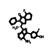 C[C@H](c1cc2cccc(F)c2c(=O)n1-c1ccccc1)n1nc(-c2ccc(O)c(F)c2)c2c(N)ncnc21